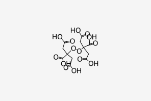 O=C(O)CC(CC(=O)O)(OOC(CC(=O)O)(CC(=O)O)C(=O)O)C(=O)O